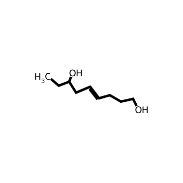 CCC(O)C/C=C/CCCO